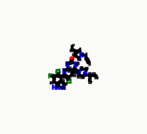 C#CCN1C/C(=C\C)C(OC2=NC3=NC(c4c(Cl)c(F)cc5[nH]ncc45)=C(Cl)CC3(C)C(N3CCN(C(=C)C=C)CC3)=N2)C1